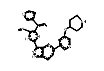 C=Nc1[nH]c(-c2n[nH]c3ccc(-c4cncc(OC5CCNCC5)c4)nc23)nc1/C(=C\C)c1ccoc1